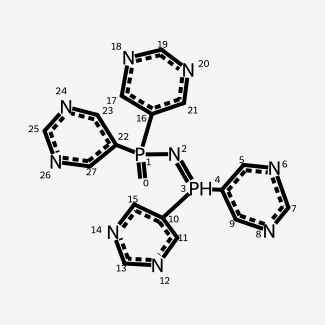 C=P(N=[PH](c1cncnc1)c1cncnc1)(c1cncnc1)c1cncnc1